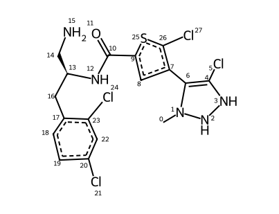 CN1NNC(Cl)=C1c1cc(C(=O)N[C@H](CN)Cc2ccc(Cl)cc2Cl)sc1Cl